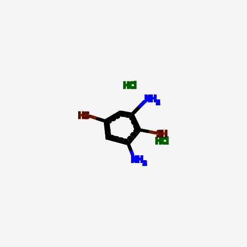 Cl.Cl.Nc1cc(S)cc(N)c1S